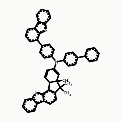 CC1(C)c2ccc3c(sc4ccccc43)c2C2C=CC(N(c3ccc(-c4ccccc4)cc3)c3ccc(-c4cccc5c4sc4ccccc45)cc3)=CC21C